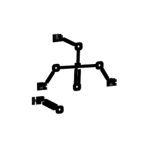 CCOP(=O)(OCC)OCC.O=P